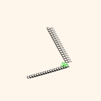 Cl.Cl.Cl.[Ca+2].[Ca+2].[Ca+2].[Ca+2].[Ca+2].[Ca+2].[Ca+2].[Ca+2].[Ca+2].[Ca+2].[Ca+2].[Ca+2].[Ca+2].[Ca+2].[Ca+2].[Ca+2].[Ca+2].[Ca+2].[Ca+2].[Ca+2].[Ca+2].[Ca+2].[Ca+2].[Ca+2].[Ca+2].[Ca+2].[Ca+2].[Ca+2].[Ca+2].[Ca+2].[Ca+2].[Ca+2].[Ca+2].[Ca+2].[Ca+2]